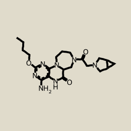 CCCCOc1nc(N)c2c(n1)N1CCCN(C(=O)CN3CC4CC4C3)CC1C(=O)N2